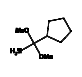 COC([SiH3])(OC)C1CCCC1